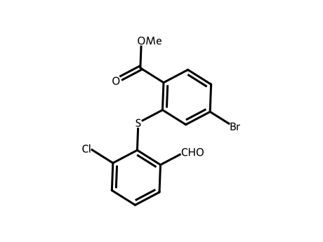 COC(=O)c1ccc(Br)cc1Sc1c(Cl)cccc1C=O